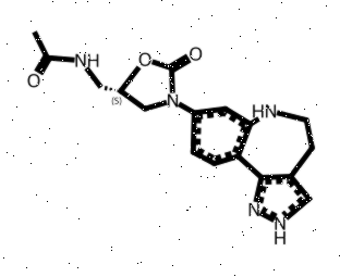 CC(=O)NC[C@H]1CN(c2ccc3c(c2)NCCc2c[nH]nc2-3)C(=O)O1